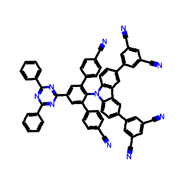 N#Cc1ccc(-c2cc(-c3nc(-c4ccccc4)nc(-c4ccccc4)n3)cc(-c3ccc(C#N)cc3)c2-n2c3ccc(-c4cc(C#N)cc(C#N)c4)cc3c3cc(-c4cc(C#N)cc(C#N)c4)ccc32)cc1